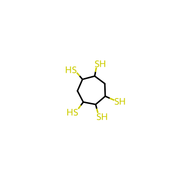 SC1CC(S)C(S)C(S)CC1S